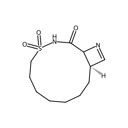 O=C1NS(=O)(=O)CCCCCCC[C@@H]2C=NC12